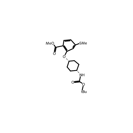 COC(=O)c1ccc(SC)cc1O[C@H]1CC[C@@H](NC(=O)OC(C)(C)C)CC1